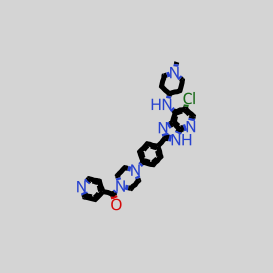 CN1CCC(Nc2c(Cl)cnc3[nH]c(-c4ccc(N5CCN(C(=O)c6ccncc6)CC5)cc4)nc23)CC1